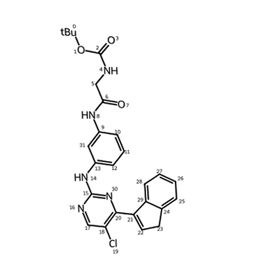 CC(C)(C)OC(=O)NCC(=O)Nc1cccc(Nc2ncc(Cl)c(C3=CCc4ccccc43)n2)c1